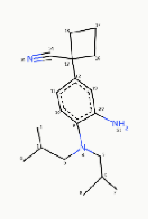 CC(C)CN(CC(C)C)c1ccc(C2(C#N)CCC2)cc1N